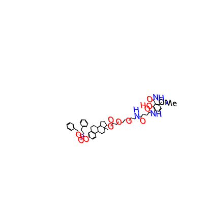 COc1ccc(NC(=O)CCC(=O)NCCOCCOCC(=O)OC2CCC3C4CCc5cc(OP(=O)(CCc6ccccc6)OCc6ccccc6)ccc5C4CCC23C)c(O)c1C(N)=O